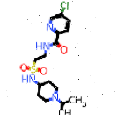 CC(C)N1CCC(NS(=O)(=O)CCNC(=O)c2ccc(Cl)cn2)CC1